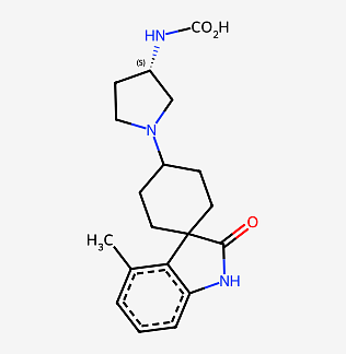 Cc1cccc2c1C1(CCC(N3CC[C@H](NC(=O)O)C3)CC1)C(=O)N2